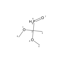 COC(C)(OC)[PH2]=O